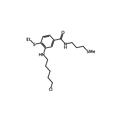 CCSc1ccc(C(=O)NCCCSC)cc1NCCCCCCl